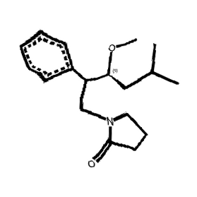 CO[C@@H](CC(C)C)C(CN1CCCC1=O)c1ccccc1